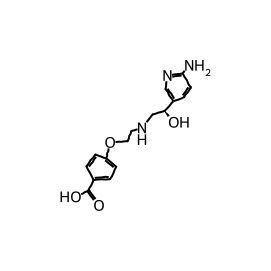 Nc1ccc([C@@H](O)CNCCOc2ccc(C(=O)O)cc2)cn1